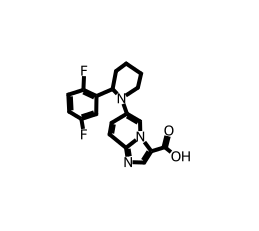 O=C(O)c1cnc2ccc(N3CCCCC3c3cc(F)ccc3F)cn12